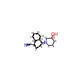 N#Cc1ccc(N2CCCC(O)C2)c2ccccc12